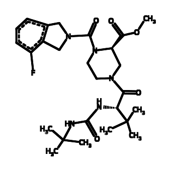 COC(=O)[C@H]1CN(C(=O)[C@@H](NC(=O)NC(C)(C)C)C(C)(C)C)CCN1C(=O)N1Cc2cccc(F)c2C1